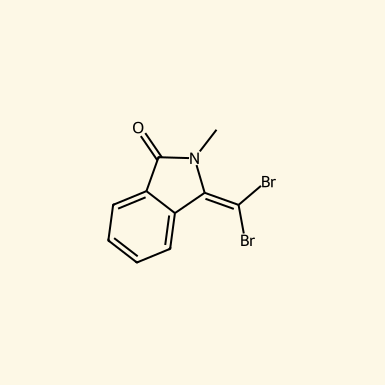 CN1C(=O)c2ccccc2C1=C(Br)Br